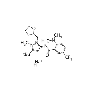 CN(C)c1ccc(C(F)(F)F)cc1C(=O)N=c1cc(C(C)(C)C)n(C)n1C[C@H]1CCCO1.[H-].[Na+]